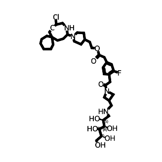 O=C(Cc1ccc(CC(=O)N2CC(CNC[C@H](O)[C@@H](O)[C@H](O)[C@H](O)CO)C2)c(F)c1)OCCC1CCN(C2CCC3(CCCCCC3)CCC(Cl)CN2)CC1